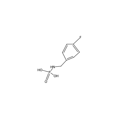 O=P(O)(O)NCc1ccc(F)cc1